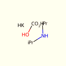 CC(C)NC(C)C.O=C(O)O.[KH]